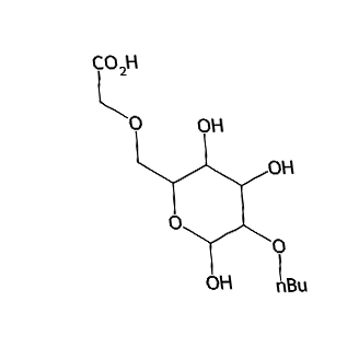 CCCCOC1C(O)OC(COCC(=O)O)C(O)C1O